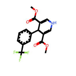 COC(=O)C1=CNC=C(C(=O)OC)C1c1cccc(C(F)(F)F)c1